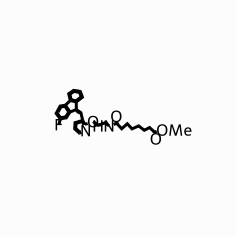 COC(=O)CCCCCCC(=O)NCCOc1ncccc1C=C1c2ccccc2-c2ccc(F)cc21